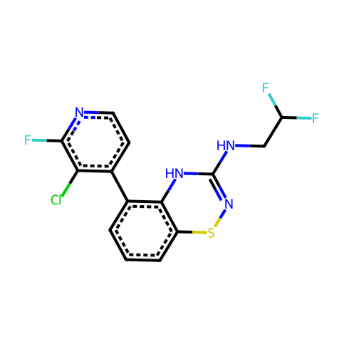 Fc1nccc(-c2cccc3c2NC(NCC(F)F)=NS3)c1Cl